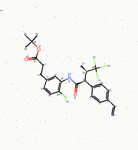 C=Cc1ccc([C@@H](C(=O)Nc2cc(CCC(=O)OC(C)(C)C)ccc2F)[C@@H](C)C(F)(F)F)cc1